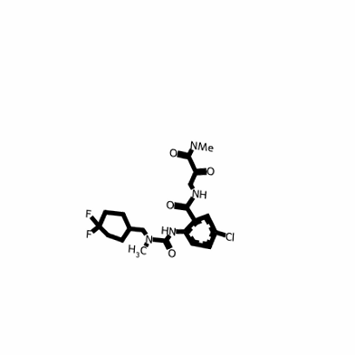 CNC(=O)C(=O)CNC(=O)c1cc(Cl)ccc1NC(=O)N(C)CC1CCC(F)(F)CC1